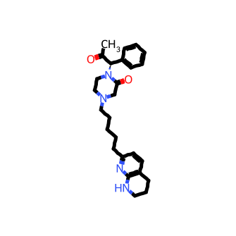 CC(=O)[C@H](c1ccccc1)N1CCN(CCCCCc2ccc3c(n2)NCCC3)CC1=O